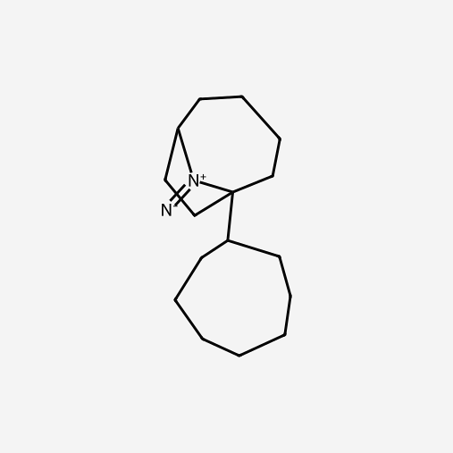 [N-]=[N+]1C2CCCCC1(C1CCCCCCC1)CC2